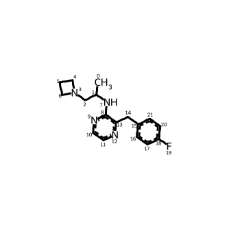 CC(CN1CCC1)Nc1nccnc1Cc1ccc(F)cc1